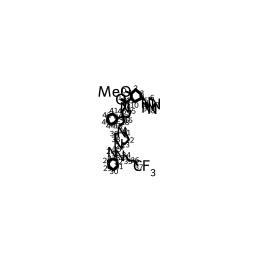 COc1ccc(-n2cnnn2)cc1C(=O)N1CCC(CCN2CCCN(c3nc4ccccc4n3CCCC(F)(F)F)CC2)(c2ccccc2)C1